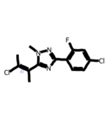 C/C(Cl)=C(/C)c1nc(-c2ccc(Cl)cc2F)nn1C